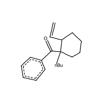 C=CC1CCCCC1(CCCC)C(=O)c1ccccc1